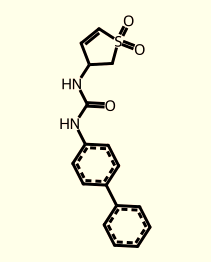 O=C(Nc1ccc(-c2ccccc2)cc1)NC1C=CS(=O)(=O)C1